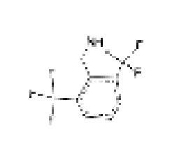 [NH]Cc1c(C(F)(F)F)cccc1C(F)(F)F